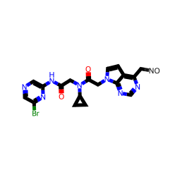 O=NCc1ncnc2c1ccn2CC(=O)N(CC(=O)Nc1cncc(Br)n1)C1CC1